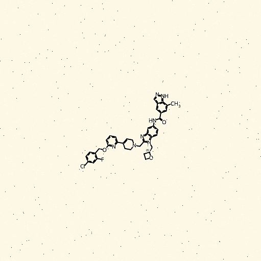 Cc1cc(C(=O)Nc2ccc3c(c2)nc(CN2CC=C(c4cccc(OCc5ccc(Cl)cc5F)n4)CC2)n3C[C@@H]2CCO2)cc2cn[nH]c12